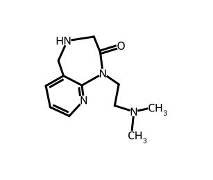 CN(C)CCN1C(=O)CNCc2cccnc21